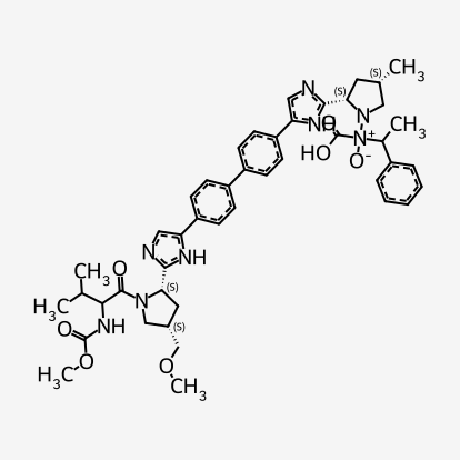 COC[C@H]1C[C@@H](c2ncc(-c3ccc(-c4ccc(-c5cnc([C@@H]6C[C@H](C)CN6[N+]([O-])(C(=O)O)C(C)c6ccccc6)[nH]5)cc4)cc3)[nH]2)N(C(=O)C(NC(=O)OC)C(C)C)C1